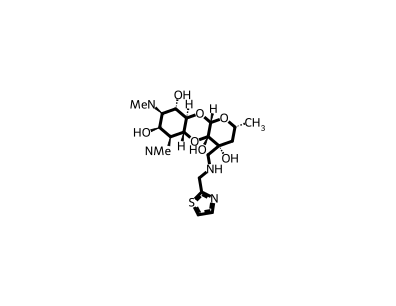 CN[C@@H]1[C@H](O)[C@H](NC)[C@H]2O[C@]3(O)[C@H](O[C@@H]2[C@H]1O)O[C@H](C)C[C@@]3(O)CNCc1nccs1